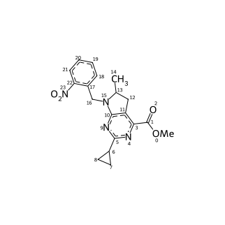 COC(=O)c1nc(C2CC2)nc2c1CC(C)N2Cc1ccccc1[N+](=O)[O-]